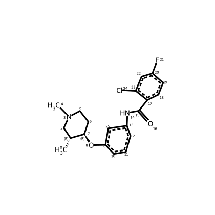 C[C@@H]1CN(C)CC[C@H]1Oc1cccc(NC(=O)c2ccc(F)cc2Cl)c1